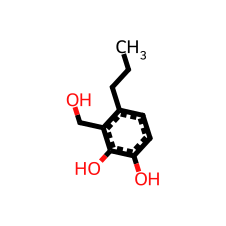 CCCc1ccc(O)c(O)c1CO